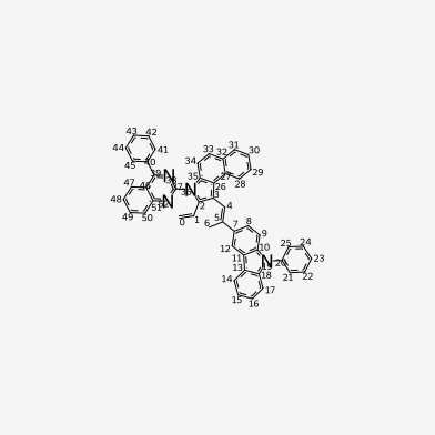 C=Cc1c(/C=C(\C)c2ccc3c(c2)c2ccccc2n3-c2ccccc2)c2c3ccccc3ccc2n1-c1nc(-c2ccccc2)c2ccccc2n1